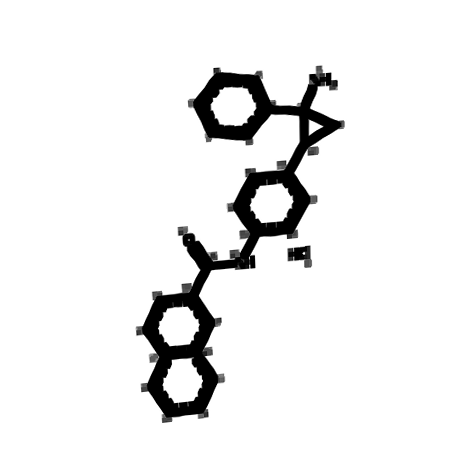 Cl.NC1(c2ccccc2)CC1c1ccc(NC(=O)c2ccc3ccccc3c2)cc1